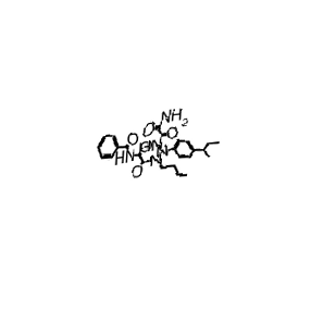 CCCCN(C(=O)C(=O)NC(=O)c1ccccc1)N(NC(=O)C(N)=O)c1ccc(C(C)CC)cc1